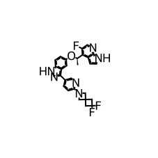 C[C@@H](Oc1ccc2[nH]nc(-c3ccc(N4CC5(C4)CC(F)(F)C5)nc3)c2c1)c1c(F)cnc2[nH]ccc12